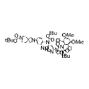 COc1cc(OC)c(Cl)c(N(C(=O)OC(C)(C)C)C(=O)N(C)c2cc(N(C(=O)OC(C)(C)C)c3ccc(N4CC5(CCN(C(=O)OC(C)(C)C)CC5)C4)cc3[N+](=O)[O-])ncn2)c1Cl